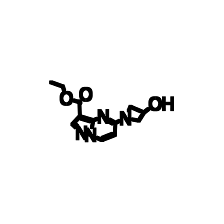 CCOC(=O)c1cnn2ccc(N3CC(O)C3)nc12